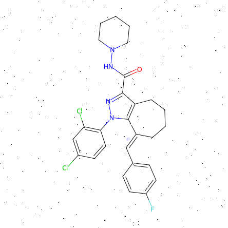 O=C(NN1CCCCC1)c1nn(-c2ccc(Cl)cc2Cl)c2c1CCCC/C2=C\c1ccc(F)cc1